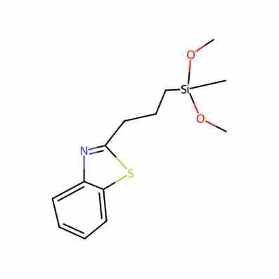 CO[Si](C)(CCCc1nc2ccccc2s1)OC